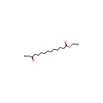 CCCCCCCOC(=O)CCCCCCCCCCC(=O)OC